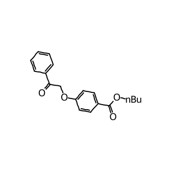 CCCCOC(=O)c1ccc(OCC(=O)c2ccccc2)cc1